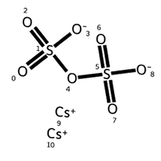 O=S(=O)([O-])OS(=O)(=O)[O-].[Cs+].[Cs+]